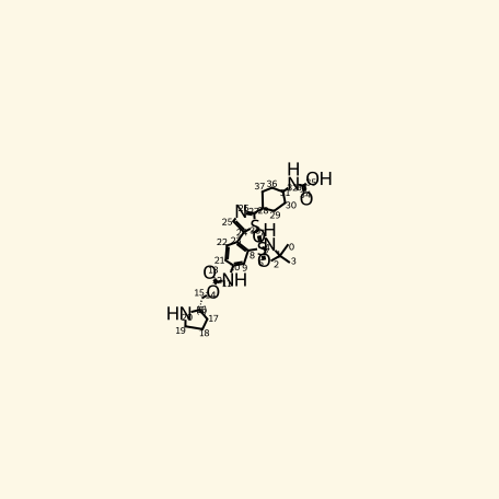 CC(C)(C)NS(=O)(=O)c1cc(NC(=O)OC[C@@H]2CCCN2)ccc1-c1cnc(C2CCC(NC(=O)O)CC2)s1